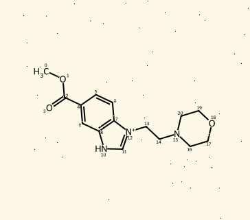 COC(=O)c1ccc2c(c1)[nH]c[n+]2CCN1CCOCC1